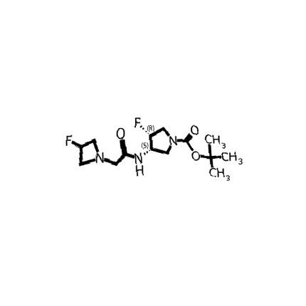 CC(C)(C)OC(=O)N1C[C@@H](F)[C@@H](NC(=O)CN2CC(F)C2)C1